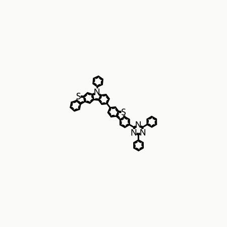 c1ccc(-c2nc(-c3ccccc3)nc(-c3ccc4c(c3)sc3cc(-c5ccc6c(c5)c5cc7c(cc5n6-c5ccccc5)sc5ccccc57)ccc34)n2)cc1